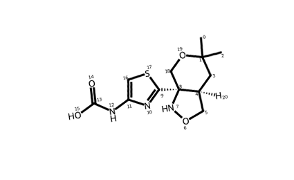 CC1(C)C[C@H]2CON[C@@]2(c2nc(NC(=O)O)cs2)CO1